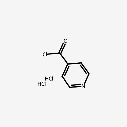 Cl.Cl.O=C(Cl)c1ccncc1